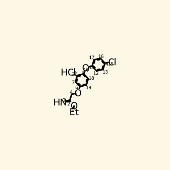 CCOC(=N)COc1ccc(Oc2ccc(Cl)cc2)cc1.Cl